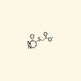 COC(=O)CSc1ccnnc1Cl